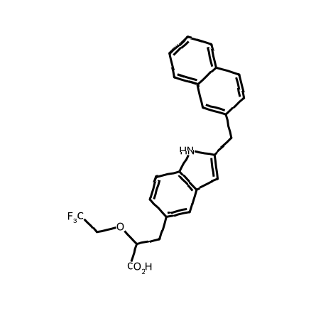 O=C(O)C(Cc1ccc2[nH]c(Cc3ccc4ccccc4c3)cc2c1)OCC(F)(F)F